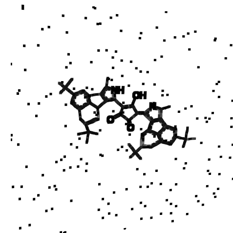 Cc1[nH]c(C2=C(O)/C(=c3\nc(C)c4c5cc(C(C)(C)C)cc6cc(C(C)(C)C)cc(c3=4)c65)C(=O)C2=O)c2c1-c1cc(C(C)(C)C)cc3c1C2C=C(C(C)(C)C)C3